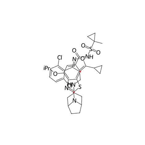 CC(C)Oc1cc(C(=O)NS(=O)(=O)C2(C)CC2)cc2sc(N3C4CCC3CC(NCc3c(-c5c(Cl)cccc5Cl)noc3C3CC3)C4)nc12